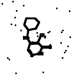 O=c1[nH]ncc(NC2CCCCC2)c1C(F)(F)F